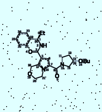 CC[C@@H](NC(=O)c1cc(C(=O)N2CC[C@H](OCC(C)C)C2)n2c1COCC2)c1ccccc1